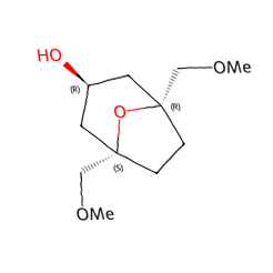 COC[C@@]12CC[C@@](COC)(C[C@@H](O)C1)O2